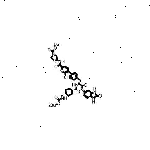 Cc1nc(C(=O)N[C@H]2CCN(C(=O)OC(C)(C)C)C2)ccc1-c1ccc(C[C@H](NC(=O)[C@H]2CC[C@H](CNC(=O)OC(C)(C)C)CC2)C(=O)Nc2ccc3[nH]c(=O)[nH]c3c2)cc1